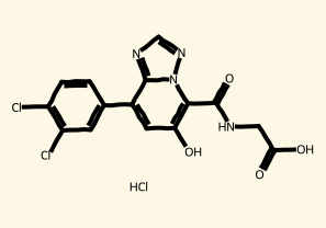 Cl.O=C(O)CNC(=O)c1c(O)cc(-c2ccc(Cl)c(Cl)c2)c2ncnn12